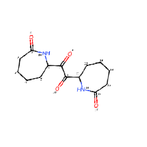 O=C1CCCCC(C(=O)C(=O)C2CCCCC(=O)N2)N1